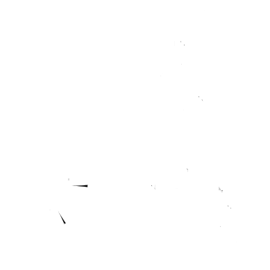 O=C1CCC(N2C(=O)c3cc(F)c(N4CC5CCC(C4)N5CC4CCN(c5ccc([C@@H]6c7ccc(O)cc7CC[C@@H]6c6ccccc6)cc5)CC4)cc3C2=O)C(=O)N1